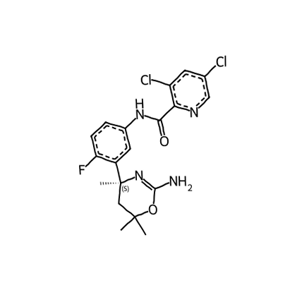 CC1(C)C[C@@](C)(c2cc(NC(=O)c3ncc(Cl)cc3Cl)ccc2F)N=C(N)O1